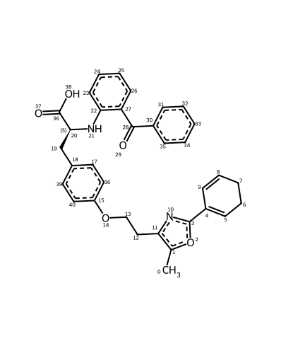 Cc1oc(C2=CCCC=C2)nc1CCOc1ccc(C[C@H](Nc2ccccc2C(=O)c2ccccc2)C(=O)O)cc1